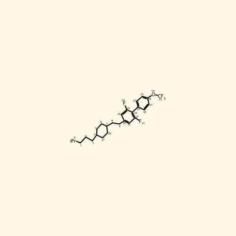 CC(C)CCCC1CCC(CCc2cc(F)c(-c3ccc(OC(F)(F)F)cc3)c(F)c2)CC1